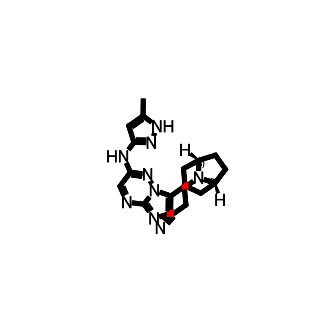 Cc1cc(Nc2cnc3ncc(C4C[C@H]5CC[C@@H](C4)N5CCC#N)n3n2)n[nH]1